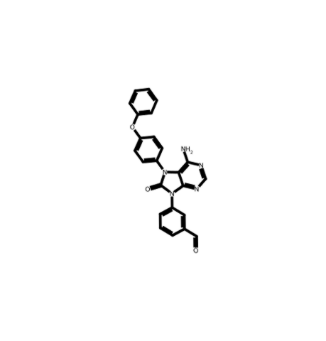 Nc1ncnc2c1n(-c1ccc(Oc3ccccc3)cc1)c(=O)n2-c1cccc(C=O)c1